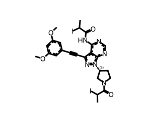 COc1cc(C#Cc2nn([C@H]3CCN(C(=O)C(C)I)C3)c3ncnc(NC(=O)C(C)I)c23)cc(OC)c1